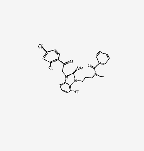 CN(CCCn1c(=N)n(CC(=O)c2ccc(Cl)cc2Cl)c2cccc(Cl)c21)C(=O)c1ccccc1